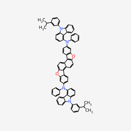 CC(C)c1cccc(-n2c3ccccc3c3c(N(c4ccccc4)c4ccc5c(c4)oc4ccc6c(ccc7oc8cc(N(c9ccccc9)c9cccc%10c9c9ccccc9n%10-c9cccc(C(C)C)c9)ccc8c76)c45)cccc32)c1